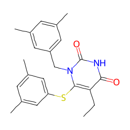 CCc1c(Sc2cc(C)cc(C)c2)n(Cc2cc(C)cc(C)c2)c(=O)[nH]c1=O